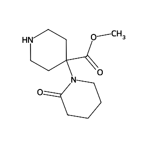 COC(=O)C1(N2CCCCC2=O)CCNCC1